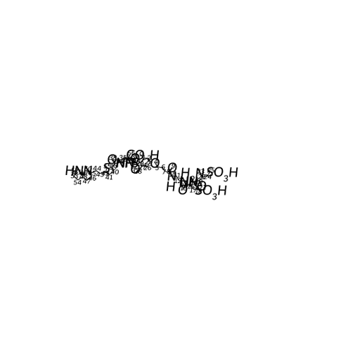 Cc1cc(OCCCC(=O)NCCNC(=O)C(CS(=O)(=O)O)NC(=O)C(N)CS(=O)(=O)O)cc(C)c1S(=O)(=O)NC(CNC(=O)c1ccc(CCc2ccc3c(n2)NCCC3)s1)C(=O)O